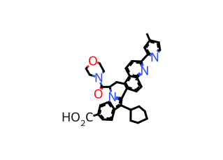 Cc1ccnc(-c2ccc3c4c(ccc3n2)-c2c(C3CCCCC3)c3ccc(C(=O)O)cc3n2C(C(=O)N2CCOCC2)C4)c1